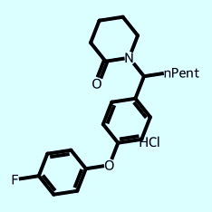 CCCCCC(c1ccc(Oc2ccc(F)cc2)cc1)N1CCCCC1=O.Cl